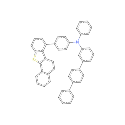 c1ccc(-c2ccc(-c3cccc(N(c4ccccc4)c4ccc(-c5cccc6sc7c8ccccc8ccc7c56)cc4)c3)cc2)cc1